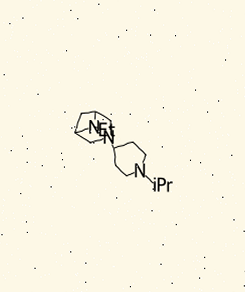 CCN1C2CC1CN(C1CCN(C(C)C)CC1)C2